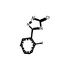 O=C1N=NC(c2ccccc2I)=N1